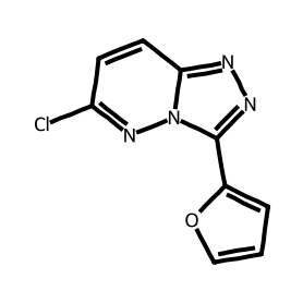 Clc1ccc2nnc(-c3ccco3)n2n1